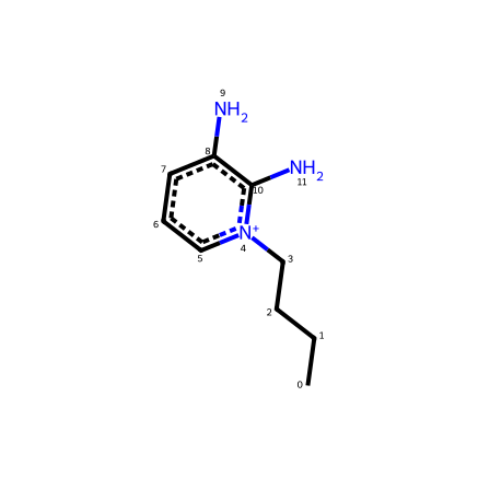 CCCC[n+]1cccc(N)c1N